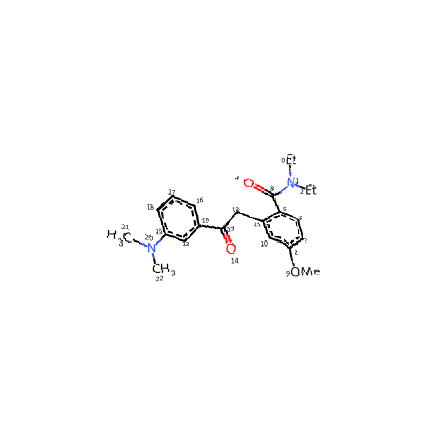 CCN(CC)C(=O)c1ccc(OC)cc1CC(=O)c1cccc(N(C)C)c1